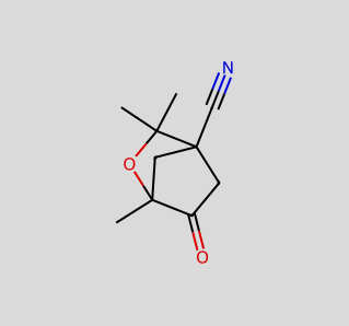 CC12CC(C#N)(CC1=O)C(C)(C)O2